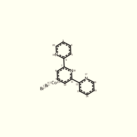 [Br-].[Br-].[Co+2].c1ccc(-c2cccc(-c3ccccn3)n2)nc1